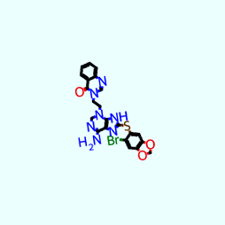 NC1=NCN(CCn2cnc3ccccc3c2=O)c2[nH]c(Sc3cc4c(cc3Br)OCO4)nc21